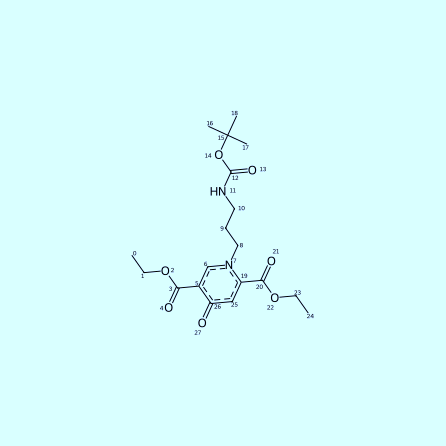 CCOC(=O)c1cn(CCCNC(=O)OC(C)(C)C)c(C(=O)OCC)cc1=O